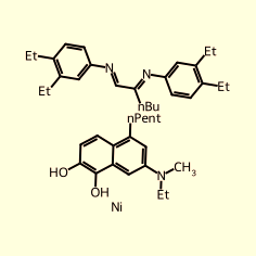 CCCCC(C=Nc1ccc(CC)c(CC)c1)=Nc1ccc(CC)c(CC)c1.CCCCCc1cc(N(C)CC)cc2c(O)c(O)ccc12.[Ni]